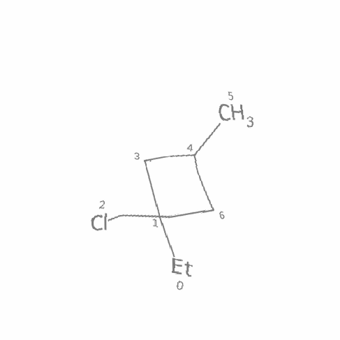 CCC1(Cl)[CH]C(C)C1